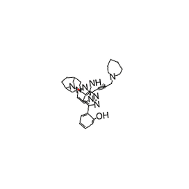 Nc1nnc(-c2ccccc2O)cc1N1CC2CCC(C1)N2c1ccnc(C#CCN2CCCCCC2)n1